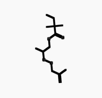 C=C(C)COOC(C)COC(=O)C(C)(C)CC